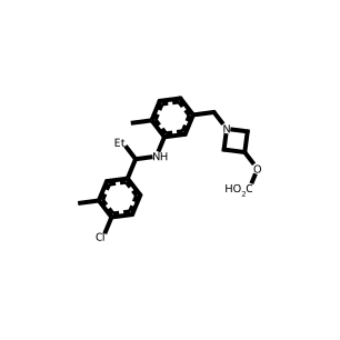 CCC(Nc1cc(CN2CC(OC(=O)O)C2)ccc1C)c1ccc(Cl)c(C)c1